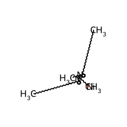 CCCCCCCCCCCCCCCCCCCCCCCC/C=C/CCCc1ccccc1/N=C(CCCC)\C(CCCCCCCC)=N\c1ccccc1CCC/C=C/CCCCCCCCCCCCCCCCCCCCCCCC.[Ni]